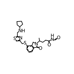 CC(CCC(=O)NC=O)N1Cc2c(SCc3csc(CNC4CCCC4)n3)cccc2C1=O